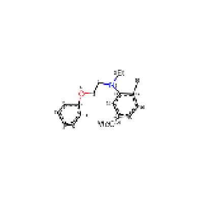 CCN(CCOc1ccccc1)c1cc(OC)ccc1C